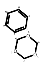 C1OCOCO1.c1ccccc1